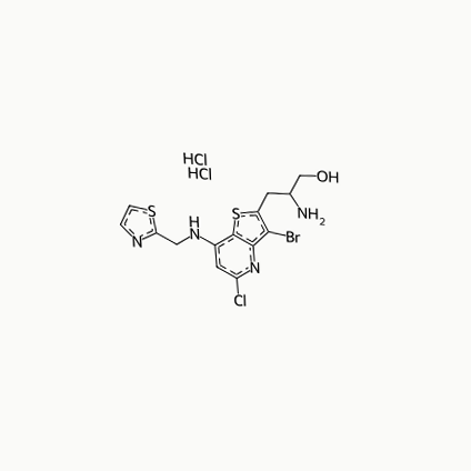 Cl.Cl.NC(CO)Cc1sc2c(NCc3nccs3)cc(Cl)nc2c1Br